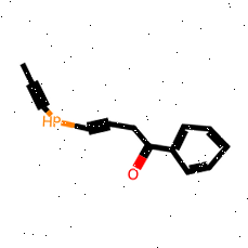 CC#CPC#CCC(=O)c1ccccc1